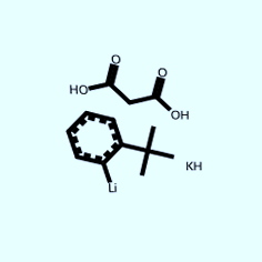 O=C(O)CC(=O)O.[KH].[Li][c]1ccccc1C(C)(C)C